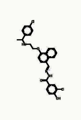 CC(NCCOc1ccc(/C=N/NC(=O)c2ccc(O)c(Cl)c2)c2ccccc12)c1ccc(Cl)cc1